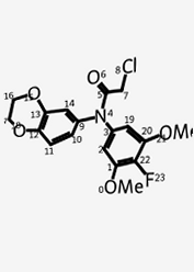 COc1cc(N(C(=O)CCl)c2ccc3c(c2)OCCO3)cc(OC)c1F